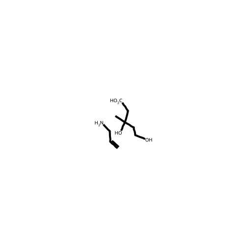 C=CCN.CC(O)(CCO)CC(=O)O